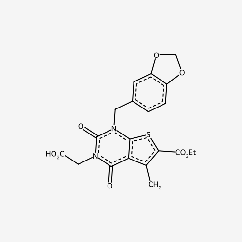 CCOC(=O)c1sc2c(c1C)c(=O)n(CC(=O)O)c(=O)n2Cc1ccc2c(c1)OCO2